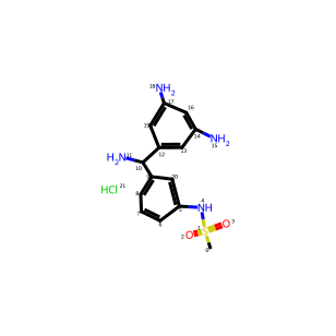 CS(=O)(=O)Nc1cccc(C(N)c2cc(N)cc(N)c2)c1.Cl